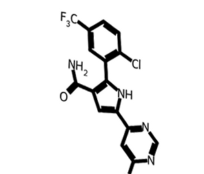 CNc1cc(-c2cc(C(N)=O)c(-c3cc(C(F)(F)F)ccc3Cl)[nH]2)ncn1